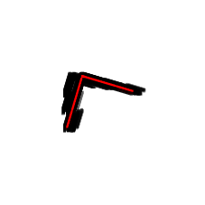 O.O.O.O.O.O.O.O.O.O.O.O.O.O.O.O.O.O.O.O.O.O.O.O.O.O.O.O.O.O.O.O.O.O.O.O.O.O.O.O.O.O.O.O.O.O.O.O.O.O.[Na+].[Na+].[Na+].[Na+].[Na+].[Na+].[Na+].[Na+].[Na+].[Na+].[Na+].[Na+].[Na+].[Na+].[Na+].[Na+].[Na+].[Na+].[Na+].[Na+].[Na+].[Na+].[Na+].[Na+].[Na+].[Na+].[Na+].[Na+].[Na+].[Na+].[Na+].[Na+].[Na+].[Na+].[Na+].[Na+].[Na+].[Na+].[Na+].[Na+].[Na+].[Na+].[Na+].[Na+].[Na+].[Na+].[Na+].[Na+].[Na+].[Na+].[OH-].[OH-].[OH-].[OH-].[OH-].[OH-].[OH-].[OH-].[OH-].[OH-].[OH-].[OH-].[OH-].[OH-].[OH-].[OH-].[OH-].[OH-].[OH-].[OH-].[OH-].[OH-].[OH-].[OH-].[OH-].[OH-].[OH-].[OH-].[OH-].[OH-].[OH-].[OH-].[OH-].[OH-].[OH-].[OH-].[OH-].[OH-].[OH-].[OH-].[OH-].[OH-].[OH-].[OH-].[OH-].[OH-].[OH-].[OH-].[OH-].[OH-]